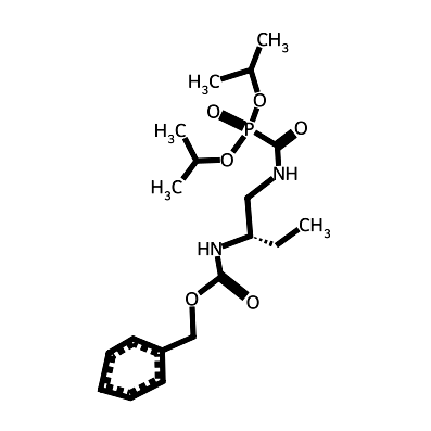 CC[C@@H](CNC(=O)P(=O)(OC(C)C)OC(C)C)NC(=O)OCc1ccccc1